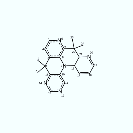 CC1(C)c2ccnc3c2N(c2cncnc21)C1C=CC=NC1C3(C)C